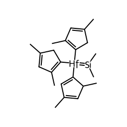 CC1=CC(C)[C]([Hf]([C]2=C(C)C=C(C)C2)([C]2=C(C)C=C(C)C2)=[Si](C)C)=C1